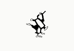 COc1cc(O)c2c(c1O)C(=O)c1cc(C)ncc1C2=O